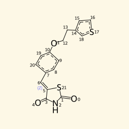 O=C1NC(=O)/C(=C/c2ccc(OCCc3ccsc3)cc2)S1